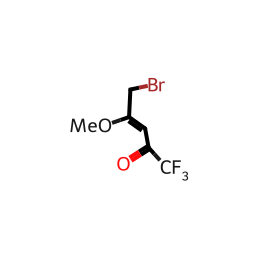 CO/C(=C\C(=O)C(F)(F)F)CBr